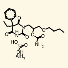 CCCCOCC(CN1C(=O)NC(=O)C(CC)(c2ccccc2)C1=O)OC(N)=O.O=[Si](O)O.[AlH3]